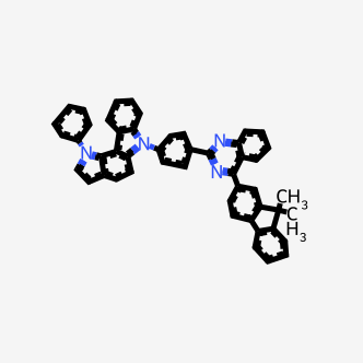 CC1(C)c2ccccc2-c2ccc(-c3nc(-c4ccc(-n5c6ccccc6c6c7c(ccc65)ccn7-c5ccccc5)cc4)nc4ccccc34)cc21